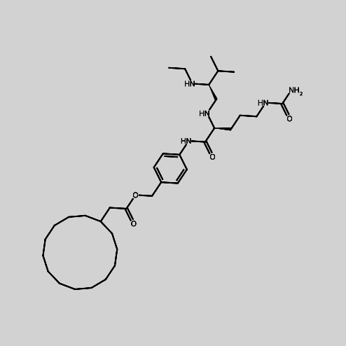 CCN[C@H](CN[C@@H](CCCNC(N)=O)C(=O)Nc1ccc(COC(=O)CC2CCCCCCCCCCCCC2)cc1)C(C)C